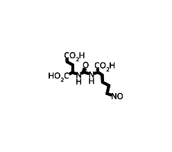 O=NCCCCC(NC(=O)NC(CCC(=O)O)C(=O)O)C(=O)O